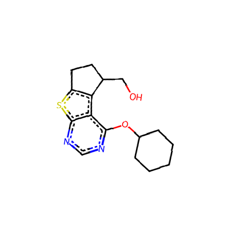 OCC1CCc2sc3ncnc(OC4CCCCC4)c3c21